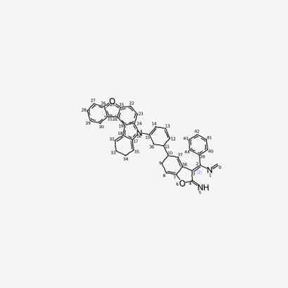 C=N/C(=C1\C(=N)OC2=CCC(C3C=CC=C(n4c5c(c6c7c(ccc64)oc4ccccc47)=CCCC=5)C3)C=C21)c1ccccc1